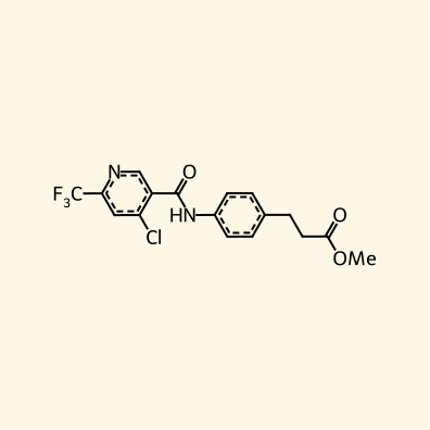 COC(=O)CCc1ccc(NC(=O)c2cnc(C(F)(F)F)cc2Cl)cc1